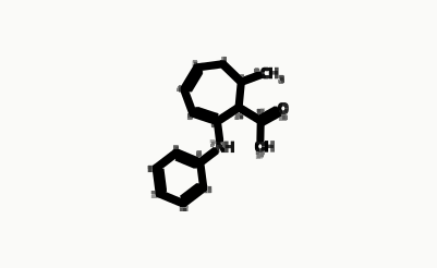 CC1CC=CC=C(Nc2ccccc2)C1C(=O)O